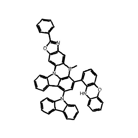 CB1c2cc3nc(-c4ccccc4)oc3cc2-n2c3ccccc3c3c(-n4c5ccccc5c5ccccc54)cc(-c4cccc5c4Nc4ccccc4O5)c1c32